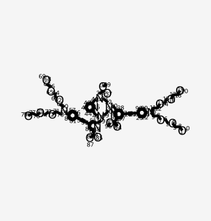 COCCOCCOCCN(CCOCCOCCOC)c1ccc(C#Cc2cc(CN3CCN(CC(=O)OC)Cc4cccc(n4)CN(Cc4cc(C#Cc5ccc(N(CCOCCOCCOC)CCOCCOCCOC)cc5)cc(C(=O)OC)n4)CC3)nc(C(=O)OC)c2)cc1